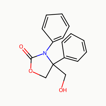 O=C1OCC(CO)(c2ccccc2)N1c1ccccc1